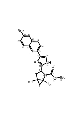 CC(C)(C)OC(=O)N1[C@@H]2C[C@@H]2C[C@H]1c1nc(-c2ccc3cc(Br)ccc3n2)c[nH]1